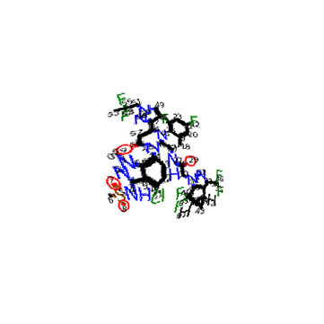 Cn1nc(NS(C)(=O)=O)c2c(Cl)ccc(-n3c([C@H](Cc4cc(F)cc(F)c4)NC(=O)Cn4nc(C(F)F)c5c4C(F)(F)[C@@H]4C[C@H]54)nc(-c4ccn(CC(C)(F)F)n4)cc3=O)c21